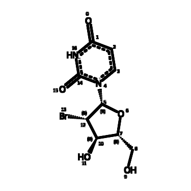 O=c1ccn([C@@H]2O[C@H](CO)[C@@H](O)[C@@H]2Br)c(=O)[nH]1